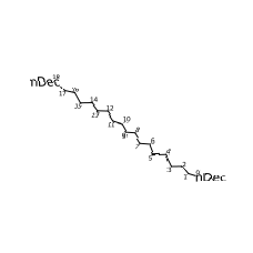 CCCCCCCCCCCCCCCCCC[C]CCCCCCCCCCCCCCCCCC